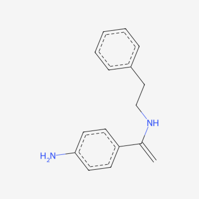 C=C(NCCc1ccccc1)c1ccc(N)cc1